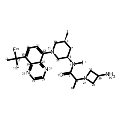 CC(C(=O)N(I)[C@@H]1C[C@H](C)CN(c2ccc(C(C)(F)F)c3nccnc23)C1)N1CC(N)C1